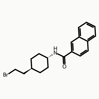 O=C(N[C@H]1CC[C@H](CCBr)CC1)c1ccc2ccccc2c1